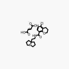 O=C(NCCC12CCCN1CCC2)c1ccc(Cl)c2c1OCCC2.O=C(O)/C=C/C(=O)O